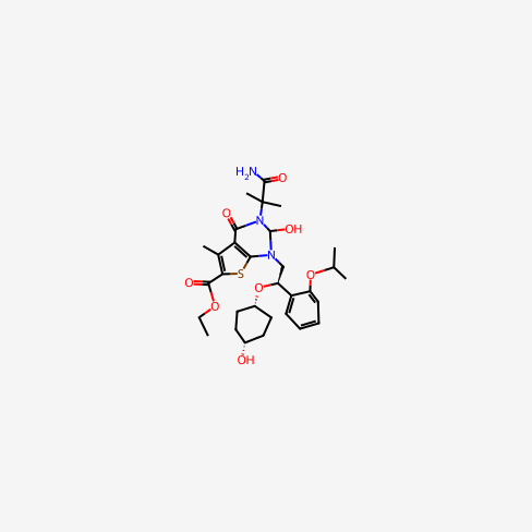 CCOC(=O)c1sc2c(c1C)C(=O)N(C(C)(C)C(N)=O)C(O)N2C[C@H](O[C@H]1CC[C@@H](O)CC1)c1ccccc1OC(C)C